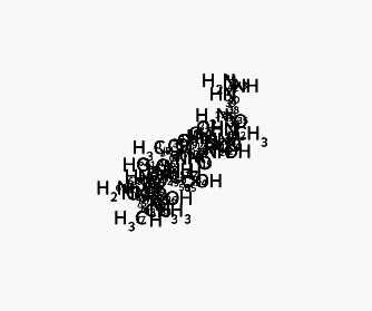 CC[C@H](C)[C@H](NC(=O)[C@H](CC(N)=O)NC(=O)[C@H](CCC(=O)O)NC(=O)[C@H](CO)NC(=O)[C@H](C)NC(=O)[C@@H](N)CCCNC(=N)N)C(=O)N[C@@H](Cc1ccc(O)cc1)C(=O)N[C@@H](CO)C(=O)N[C@@H](CC(N)=O)C(=O)N[C@@H](CC(C)C)C(=O)N[C@@H](C)C(=O)O